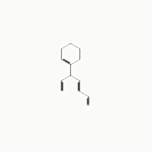 C=CC(C=CC=O)C1=CCCCC1